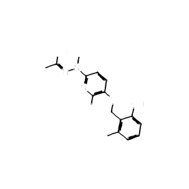 CCC/C(C)=N\N(C)c1ccc(OCc2c(C)cccc2O)c(F)n1